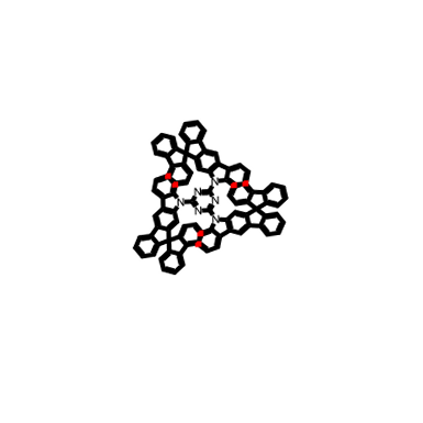 c1ccc2c(c1)-c1ccccc1C21c2ccccc2-c2cc3c4ccccc4n(-c4nc(-n5c6ccccc6c6cc7c(cc65)C5(c6ccccc6-c6ccccc65)c5ccccc5-7)nc(-n5c6ccccc6c6cc7c(cc65)C5(c6ccccc6-c6ccccc65)c5ccccc5-7)n4)c3cc21